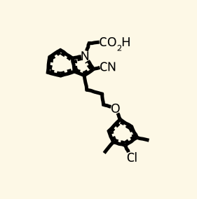 Cc1cc(OCCCc2c(C#N)n(CC(=O)O)c3ccccc23)cc(C)c1Cl